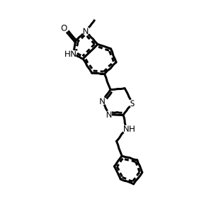 Cn1c(=O)[nH]c2cc(C3=NN=C(NCc4ccccc4)SC3)ccc21